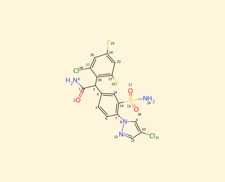 NC(=O)C(c1ccc(-n2cc(Cl)cn2)c(S(N)(=O)=O)c1)c1c(F)cc(F)cc1Cl